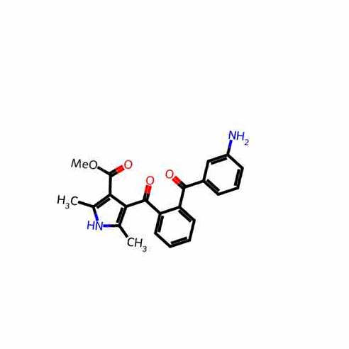 COC(=O)c1c(C)[nH]c(C)c1C(=O)c1ccccc1C(=O)c1cccc(N)c1